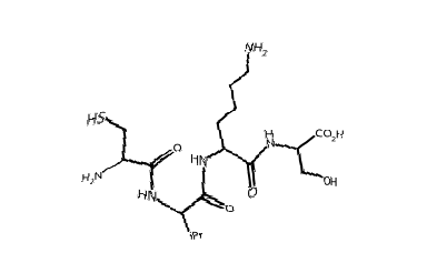 CC(C)C(NC(=O)C(N)CS)C(=O)NC(CCCCN)C(=O)NC(CO)C(=O)O